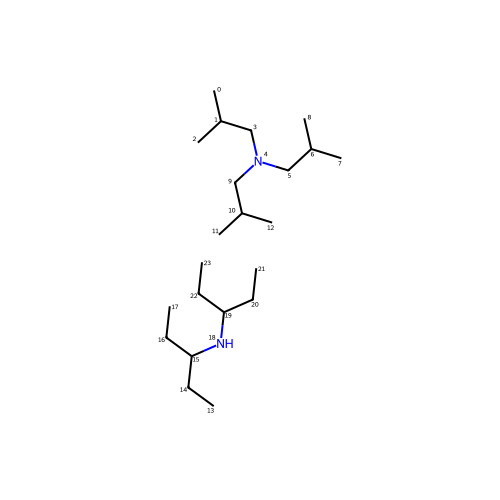 CC(C)CN(CC(C)C)CC(C)C.CCC(CC)NC(CC)CC